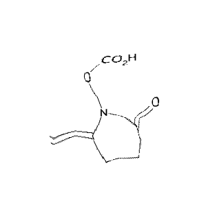 C=C1CCC(=O)N1OC(=O)O